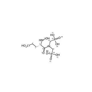 O=C(O)CC[C@H](NO)C(=O)N(CP(=O)(O)O)CP(=O)(O)O